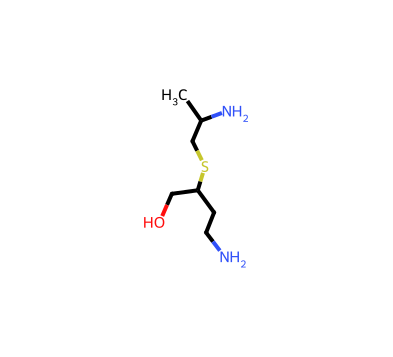 CC(N)CSC(CO)CCN